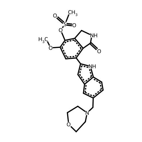 COc1cc(-c2cc3cc(CN4CCOCC4)ccc3[nH]2)c2c(c1OS(C)(=O)=O)CNC2=O